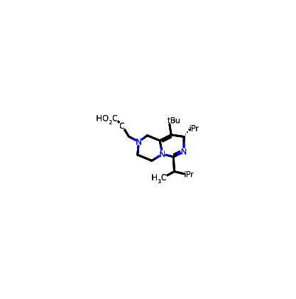 CC(C)C(C)C1=N[C@@H](C(C)C)C(C(C)(C)C)=C2CN(CCC(=O)O)CCN12